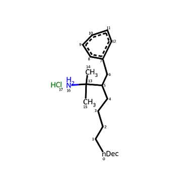 CCCCCCCCCCCCCCC(Cc1ccccc1)C(C)(C)N.Cl